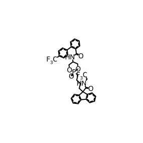 O=C(NC1COP(=O)(CCCCC2(C(=O)NCC(F)(F)F)c3ccccc3-c3ccccc32)OC1)c1ccccc1-c1ccc(C(F)(F)F)cc1